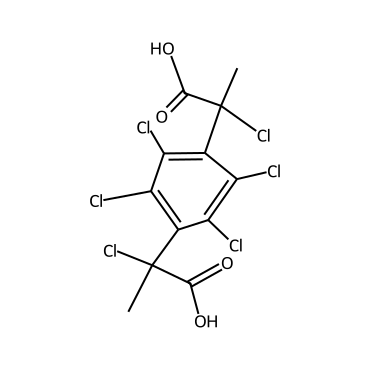 CC(Cl)(C(=O)O)c1c(Cl)c(Cl)c(C(C)(Cl)C(=O)O)c(Cl)c1Cl